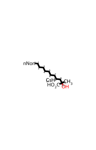 CCCCCCCCCCCCCCCCCCC(C)(O)C(=O)O.[CsH]